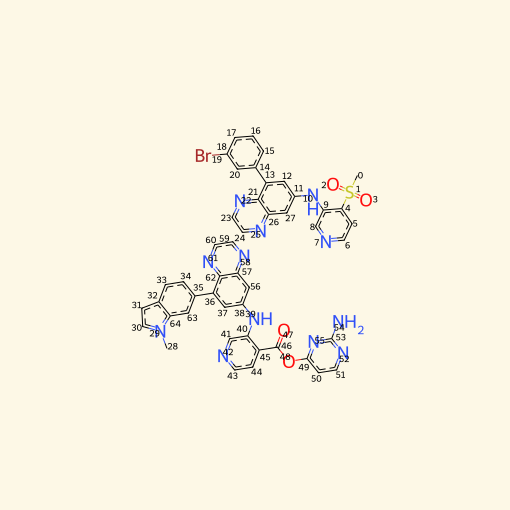 CS(=O)(=O)c1ccncc1Nc1cc(-c2cccc(Br)c2)c2nccnc2c1.Cn1ccc2ccc(-c3cc(Nc4cnccc4C(=O)Oc4ccnc(N)n4)cc4nccnc34)cc21